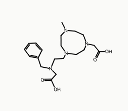 CN1CCN(CCN(CC(=O)O)Cc2ccccc2)CCN(CC(=O)O)CC1